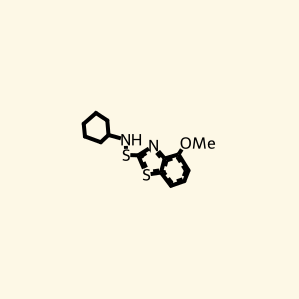 COc1cccc2sc(SNC3CCCCC3)nc12